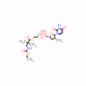 CCOC(=O)NCC(C)(C)C(=O)SCCOP(=O)(O)OC[C@@H]1C[C@H](C)[C@H](n2ccc(=O)[nH]c2=O)O1